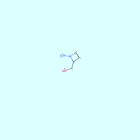 NN1CCC1CO